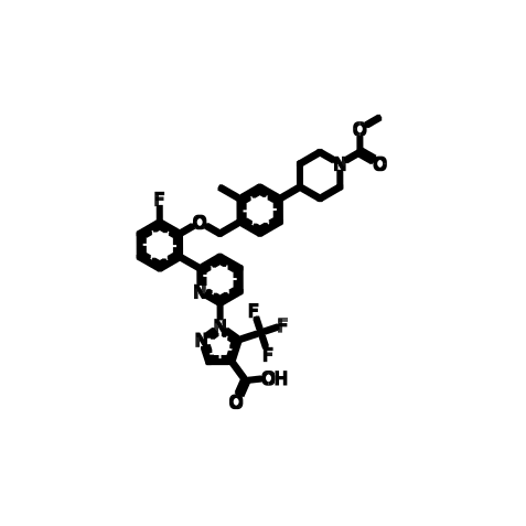 COC(=O)N1CCC(c2ccc(COc3c(F)cccc3-c3cccc(-n4ncc(C(=O)O)c4C(F)(F)F)n3)c(C)c2)CC1